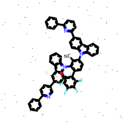 N#Cc1c(-n2c3ccccc3c3cc(-c4cccc(-c5ccccc5)n4)ccc32)ccc(-c2c(F)c(F)c(F)c(F)c2F)c1-n1c2ccccc2c2cc(-c3ccc(-c4ccccc4)nc3)ccc21